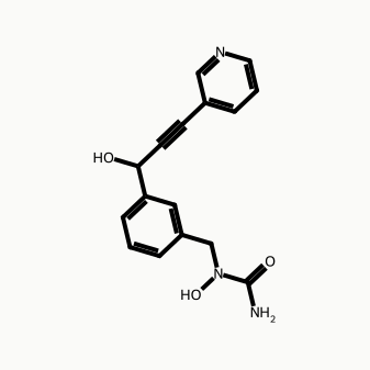 NC(=O)N(O)Cc1cccc(C(O)C#Cc2cccnc2)c1